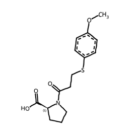 COc1ccc(SCCC(=O)N2CCC[C@H]2C(=O)O)cc1